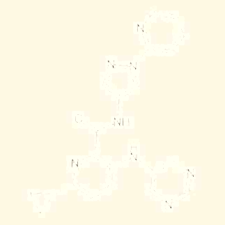 O=C(Nc1cnn(-c2ccccn2)c1)c1nc(C2CC2)ccc1Nc1cncnc1